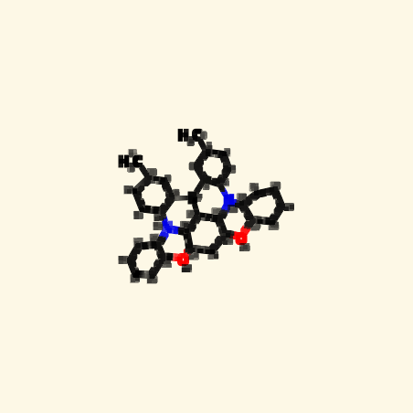 Cc1ccc2c(c1)B1c3cc(C)ccc3-n3c4ccccc4oc4cc5oc6ccccc6n-2c5c1c43